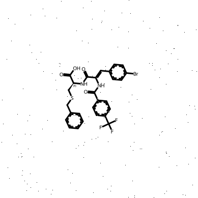 O=C(N[C@@H](CSCc1ccccc1)C(=O)O)C(=Cc1ccc(Br)cc1)NC(=O)c1ccc(C(F)(F)F)cc1